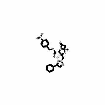 C[C@@]1(Cn2ncc(-c3ccccc3)n2)S[C@@H]2CC(=O)N2[C@H]1C(=O)OCc1ccc([N+](=O)[O-])cc1